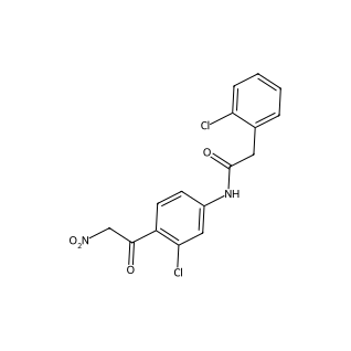 O=C(Cc1ccccc1Cl)Nc1ccc(C(=O)C[N+](=O)[O-])c(Cl)c1